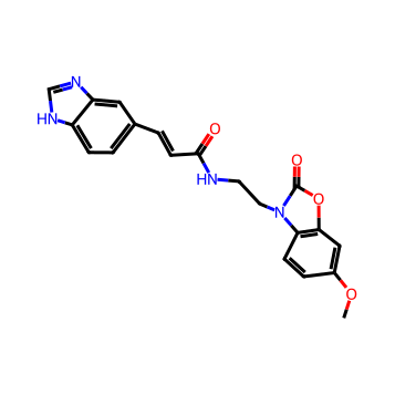 COc1ccc2c(c1)oc(=O)n2CCNC(=O)/C=C/c1ccc2[nH]cnc2c1